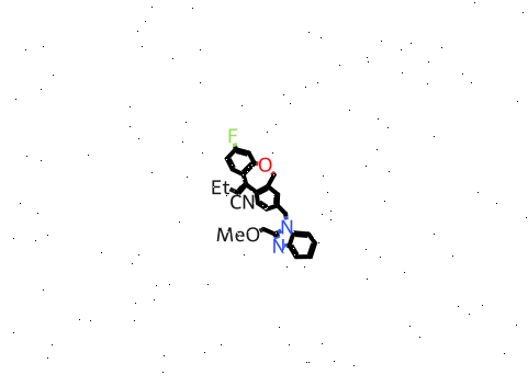 CCC(C#N)=C1c2ccc(Cn3c(COC)nc4ccccc43)cc2COc2cc(F)ccc21